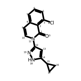 O=c1c2c(Cl)cccc2ccn1-c1cc(C2CC2)[nH]n1